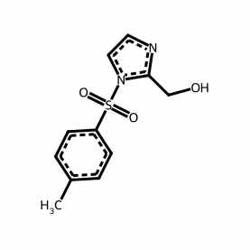 Cc1ccc(S(=O)(=O)n2ccnc2CO)cc1